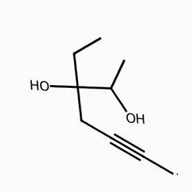 [CH2]C#CCC(O)(CC)C(C)O